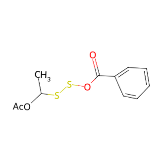 CC(=O)OC(C)SSOC(=O)c1ccccc1